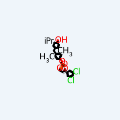 Cc1cc(OC[P@@]2(=O)OCC[C@@H](c3cc(Cl)cc(Cl)c3)O2)cc(C)c1Cc1ccc(O)c(C(C)C)c1